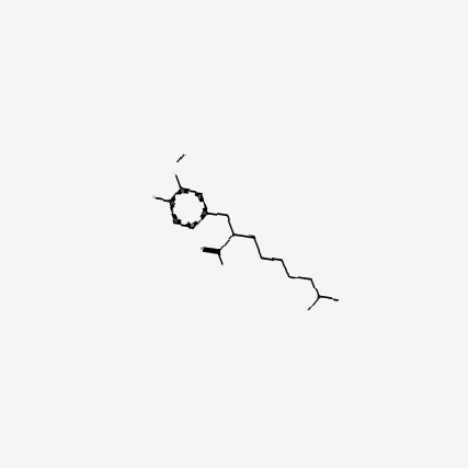 COc1cc(CC(CCCCCC(C)C)C(=O)O)ccc1O